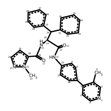 Cc1cnccc1-c1ccc(NC(=O)[C@@H](NC(=O)c2ccnn2C)C(c2ccccc2)c2ccccc2)cc1